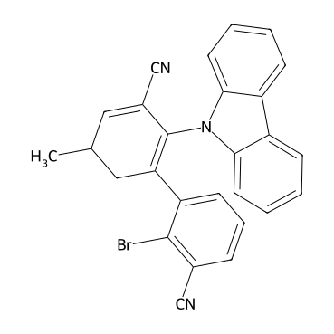 CC1C=C(C#N)C(n2c3ccccc3c3ccccc32)=C(c2cccc(C#N)c2Br)C1